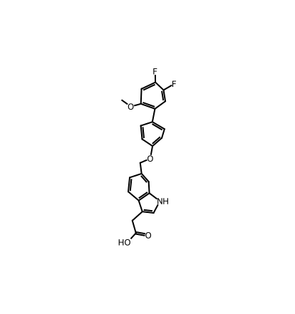 COc1cc(F)c(F)cc1-c1ccc(OCc2ccc3c(CC(=O)O)c[nH]c3c2)cc1